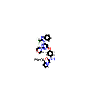 COC[C@@H]1CCCN1CC(=O)N[C@H]1CC[C@H](Oc2cc(-n3c(C(F)F)nc4c3C=CCC4)nc(N3CCOCC3)n2)CC1